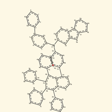 c1ccc(-c2cccc(N(c3ccc(-c4cccc5c(-c6ccccc6)c(-c6ccccc6)c(-c6ccccc6)c(-c6ccccc6)c45)cc3)c3ccc4c(c3)sc3ccccc34)c2)cc1